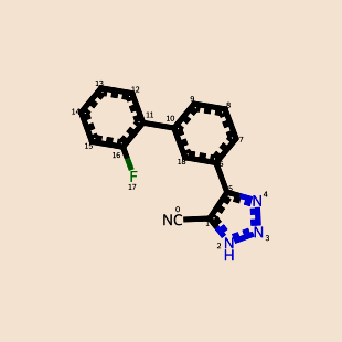 N#Cc1[nH]nnc1-c1cccc(-c2ccccc2F)c1